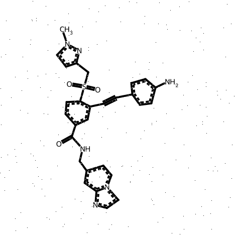 Cn1ccc(CS(=O)(=O)c2ccc(C(=O)NCc3ccn4ccnc4c3)cc2C#Cc2ccc(N)cc2)n1